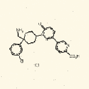 Cl.NCC1(c2cccc(Cl)c2)CCC(n2nc(-c3ccc(C(=O)O)nc3)ccc2=O)CC1